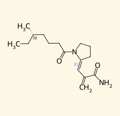 C=C(/C=C1\CCCN1C(=O)CCC[C@@H](C)CC)C(N)=O